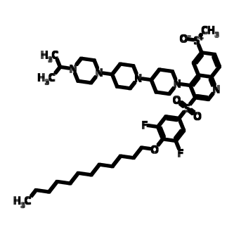 CCCCCCCCCCCCOc1c(F)cc(S(=O)(=O)c2cnc3ccc([S+](C)[O-])cc3c2N2CCC(N3CCC(N4CCN(C(C)C)CC4)CC3)CC2)cc1F